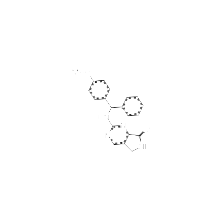 COc1ccc(C(Nc2ncc3c(n2)C(=O)NC3)c2ccccc2)cc1